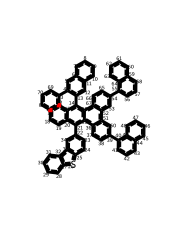 c1ccc(-c2cc3ccccc3cc2-c2c3ccccc3c(-c3ccc4sc5ccccc5c4c3)c3c4ccc(-c5cccc6ccccc56)cc4c4cc(-c5cccc6ccccc56)ccc4c23)cc1